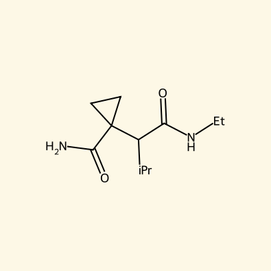 CCNC(=O)C(C(C)C)C1(C(N)=O)CC1